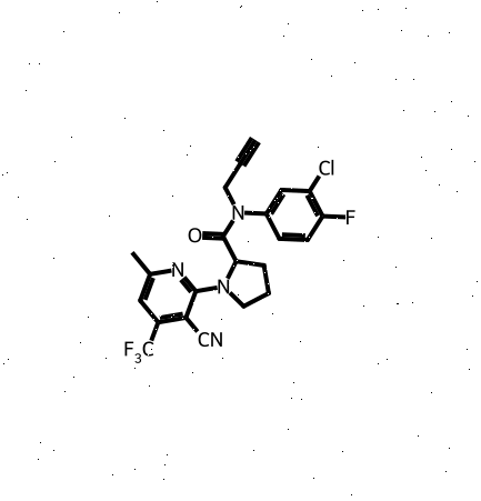 C#CCN(C(=O)C1CCCN1c1nc(C)cc(C(F)(F)F)c1C#N)c1ccc(F)c(Cl)c1